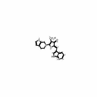 O=C(O)C1=C(N2CCc3ccoc3C2)O/C(=C\c2c[nH]c3ncccc23)C1=O